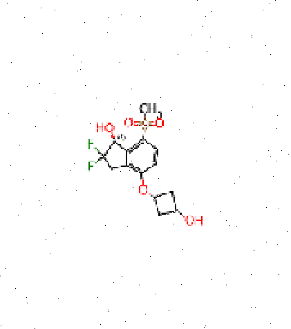 CS(=O)(=O)c1ccc(O[C@H]2C[C@@H](O)C2)c2c1[C@H](O)C(F)(F)C2